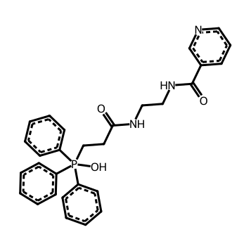 O=C(CCP(O)(c1ccccc1)(c1ccccc1)c1ccccc1)NCCNC(=O)c1cccnc1